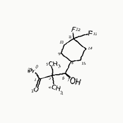 CC(C)C(=O)C(C)(C)C(O)C1CCC(F)(F)CC1